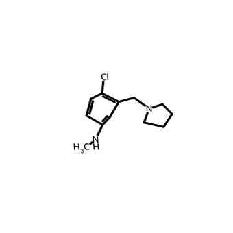 CNc1ccc(Cl)c(CN2CCCC2)c1